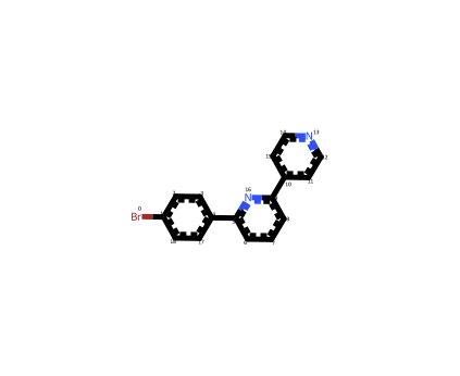 Brc1ccc(-c2cccc(-c3ccncc3)n2)cc1